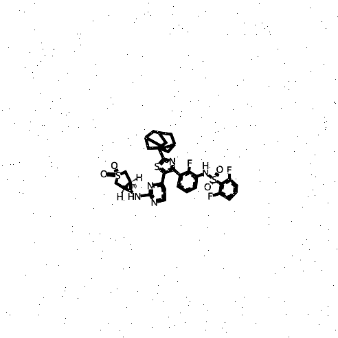 O=S1(=O)C[C@@H]2C(Nc3nccc(-c4sc(C56CC7CC(CC(C7)C5)C6)nc4-c4cccc(NS(=O)(=O)c5c(F)cccc5F)c4F)n3)[C@@H]2C1